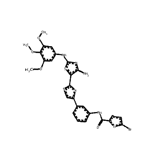 COc1cc(Nc2nc(N)c(-c3nc(-c4cccc(NC(=O)c5ccc(Br)o5)c4)cs3)s2)cc(OC)c1OC